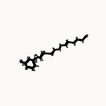 CCCCCCCCCCCCOc1cccc(C)c1